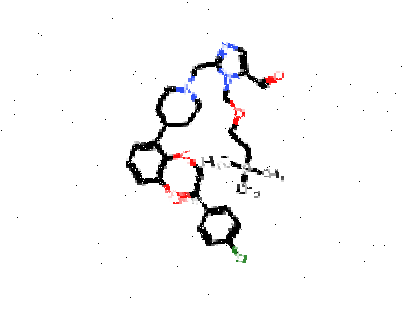 C[Si](C)(C)CCOCn1c(C=O)cnc1CN1CCC(c2cccc3c2OC[C@@H](c2ccc(Cl)cc2)O3)CC1